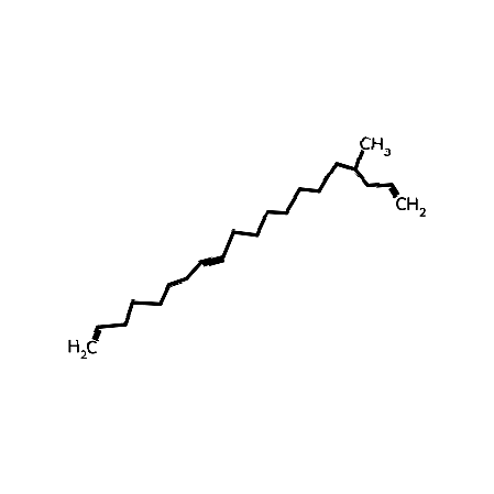 C=CCCCCCC=CCCCCCCCC(C)CC=C